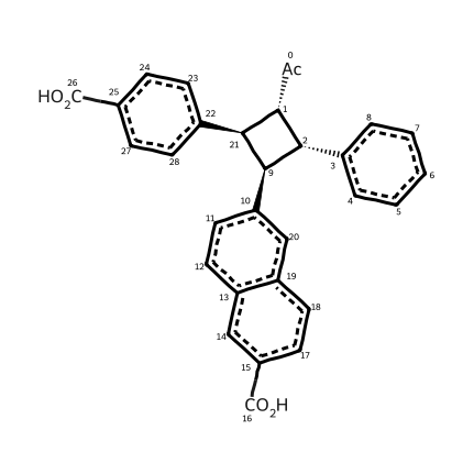 CC(=O)[C@@H]1[C@H](c2ccccc2)[C@@H](c2ccc3cc(C(=O)O)ccc3c2)[C@H]1c1ccc(C(=O)O)cc1